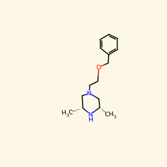 C[C@@H]1CN(CCOCc2ccccc2)C[C@H](C)N1